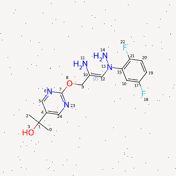 CC(C)(O)c1cnc(OC/C(N)=C/N(N)c2cc(F)ccc2F)nc1